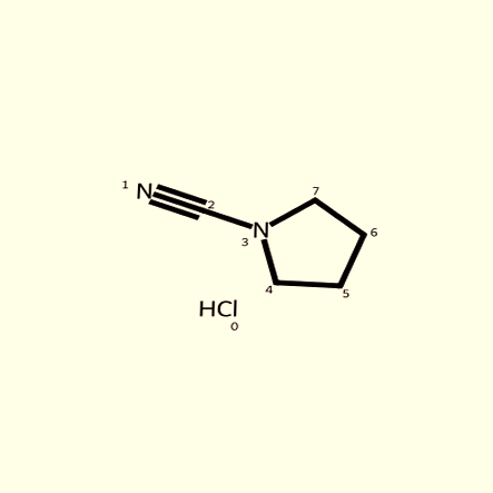 Cl.N#CN1CCCC1